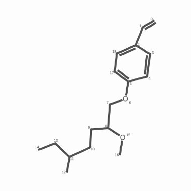 C=Cc1ccc(OCC(CCC(C)CC)OC)cc1